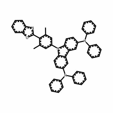 Cc1cc(-n2c3ccc(N(c4ccccc4)c4ccccc4)cc3c3cc(N(c4ccccc4)c4ccccc4)ccc32)cc(C)c1-c1nc2ccccc2o1